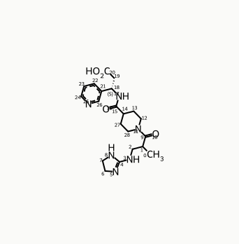 CC(CNC1=NCCN1)C(=O)N1CCC(C(=O)N[C@@H](CC(=O)O)c2cccnc2)CC1